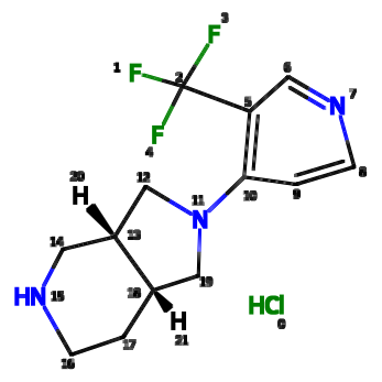 Cl.FC(F)(F)c1cnccc1N1C[C@H]2CNCC[C@H]2C1